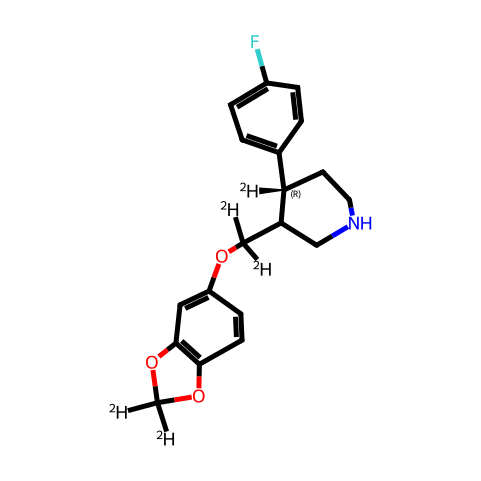 [2H]C1([2H])Oc2ccc(OC([2H])([2H])C3CNCC[C@@]3([2H])c3ccc(F)cc3)cc2O1